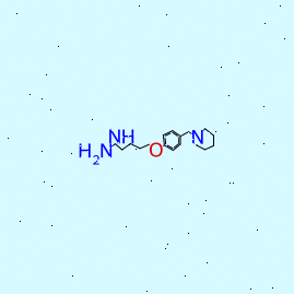 N=C(N)CCCCOc1ccc(CN2CCCCC2)cc1